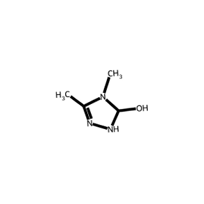 CC1=NNC(O)N1C